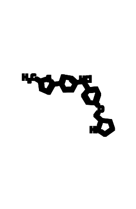 Cc1ccc(-c2ccc(Cc3ccc(OCC4CCCN4)cc3)cc2)s1.Cl